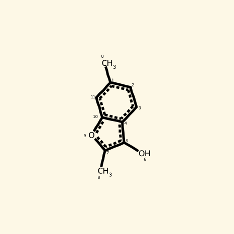 Cc1ccc2c(O)c(C)oc2c1